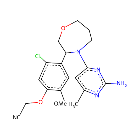 COc1cc(C2COCCCN2c2cc(C)nc(N)n2)c(Cl)cc1OCC#N